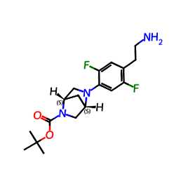 CC(C)(C)OC(=O)N1C[C@@H]2C[C@H]1CN2c1cc(F)c(CCN)cc1F